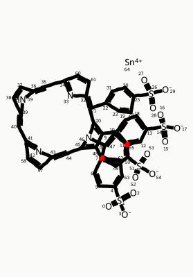 O=S(=O)([O-])c1ccc(-c2c(-c3ccc(S(=O)(=O)[O-])cc3)c3c(-c4ccc(S(=O)(=O)[O-])cc4)c4nc(cc5ccc(cc6nc(cc2n3-c2ccc(S(=O)(=O)[O-])cc2)C=C6)[nH]5)C=C4)cc1.[Sn+4]